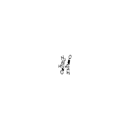 O=[SiH][SiH]=O.[AlH3]